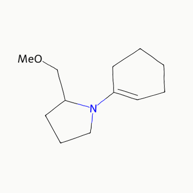 COCC1CCCN1C1=CCCCC1